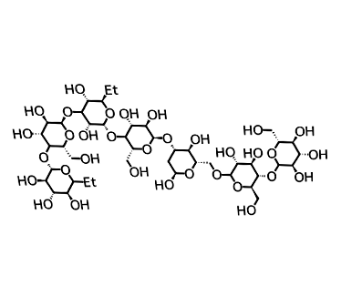 CCC1O[C@@H](OC2[C@@H](CO)O[C@H](OC3[C@@H](O)[C@@H](OC4[C@@H](CO)O[C@H](O[C@H]5C[C@H](O)O[C@@H](COC6O[C@H](CO)[C@@H](OC7O[C@H](CO)[C@@H](O)[C@H](O)[C@H]7O)[C@H](O)[C@H]6O)[C@@H]5O)[C@H](O)[C@H]4O)O[C@H](CC)[C@H]3O)[C@H](O)[C@H]2O)[C@H](O)[C@@H](O)[C@@H]1O